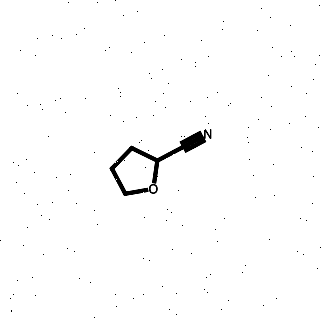 N#CC1CCCO1